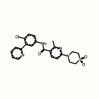 Cc1nc(N2CCS(=O)(=O)CC2)ccc1C(=O)Nc1ccc(Cl)c(-c2ccccn2)c1